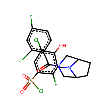 O=C(c1ccc(F)cc1Cl)N1CC2CCC(C1)N2c1c(O)c(Cl)cc(S(=O)(=O)Cl)c1F